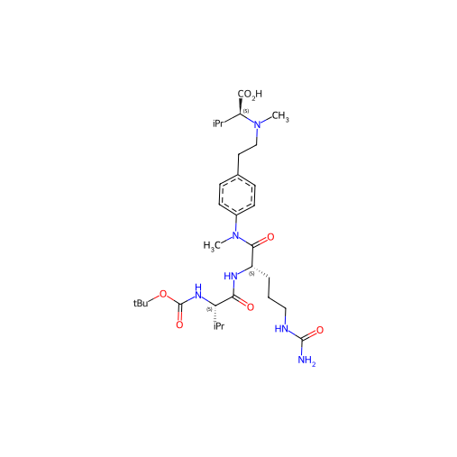 CC(C)[C@H](NC(=O)OC(C)(C)C)C(=O)N[C@@H](CCCNC(N)=O)C(=O)N(C)c1ccc(CCN(C)[C@H](C(=O)O)C(C)C)cc1